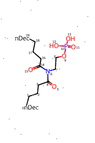 CCCCCCCCCCCCCC(=O)N(CCOP(=O)(O)O)C(=O)CCCCCCCCCCCCC